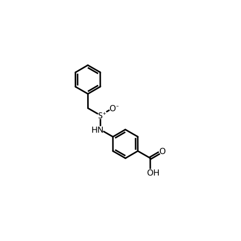 O=C(O)c1ccc(N[S+]([O-])Cc2ccccc2)cc1